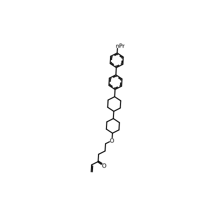 C=CC(=O)CCCOC1CCC(C2CCC(c3ccc(-c4ccc(CCC)cc4)cc3)CC2)CC1